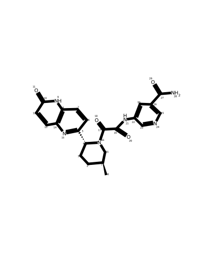 C[C@H]1CC[C@H](c2ccc3[nH]c(=O)ccc3n2)N(C(=O)C(=O)Nc2cncc(C(N)=O)c2)C1